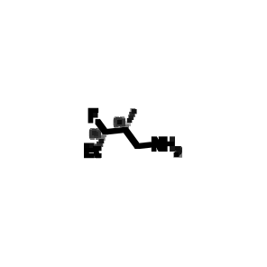 CC[C@H](F)[C@H](C)CN